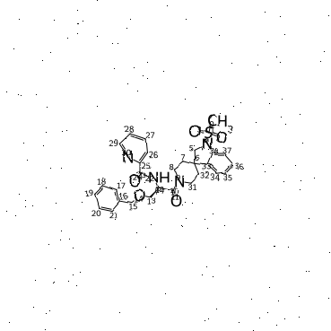 CS(=O)(=O)N1CC2(CCN(C(=O)[C@@H](COCc3ccccc3)NC(=O)c3ccccn3)CC2)c2ccccc21